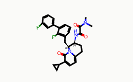 CN(C)C(=O)C(=O)N[C@H]1CCc2ccc(C3CC3)c(=O)n2[C@H]1Cc1cccc(-c2cccc(F)c2)c1F